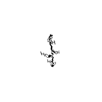 CC(C)(C)OC(=O)NCCCN(CCO)CCN(CCO)CCCNC(=O)OC(C)(C)C